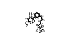 COC(=O)[C@@H](C)NC(=O)c1cccc(/C=C\CCCN(C)S(C)(=O)=O)c1